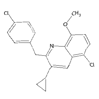 COc1ccc(Cl)c2cc(C3CC3)c(Cc3ccc(Cl)cc3)nc12